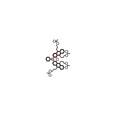 CC(=O)OCCCc1c2ccccc2c(CCCOC(C)=O)c2c(Oc3c(Oc4ccccc4)ccc4c(CCCOC(C)=O)c5ccccc5c(CCCOC(C)=O)c34)c(Oc3ccccc3)ccc12